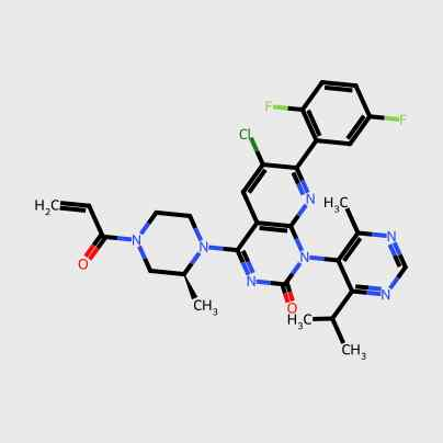 C=CC(=O)N1CCN(c2nc(=O)n(-c3c(C)ncnc3C(C)C)c3nc(-c4cc(F)ccc4F)c(Cl)cc23)[C@@H](C)C1